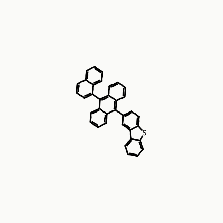 c1ccc2c(-c3c4ccccc4c(-c4ccc5sc6ccccc6c5c4)c4ccccc34)cccc2c1